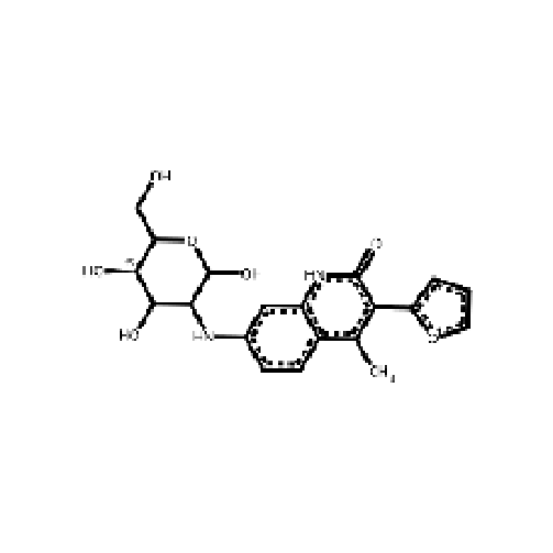 Cc1c(-c2ccco2)c(=O)[nH]c2cc(NC3C(O)OC(CO)[C@H](O)C3O)ccc12